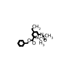 C=Cc1cc(N=S(C)(C)=O)nc(C(=O)OCc2ccccc2)c1